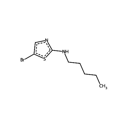 CCCCCNc1ncc(Br)s1